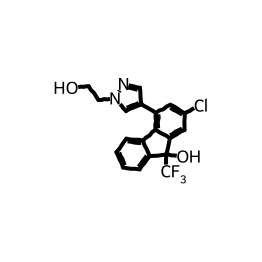 OCCn1cc(-c2cc(Cl)cc3c2-c2ccccc2C3(O)C(F)(F)F)cn1